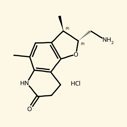 Cc1cc2c(c3c1NC(=O)CC3)O[C@@H](CN)[C@@H]2C.Cl